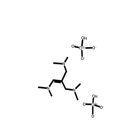 CN(C)C=C(CN(C)C)CN(C)C.[O-][Cl+3]([O-])([O-])O.[O-][Cl+3]([O-])([O-])O